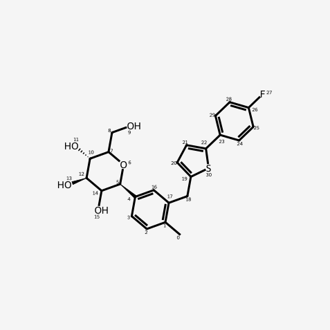 Cc1ccc([C@@H]2OC(CO)[C@@H](O)[C@H](O)C2O)cc1Cc1ccc(-c2ccc(F)cc2)s1